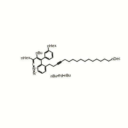 CCCCCCCCCCCCCCCCCCCCCCC#CCCc1ccccc1C(=C(CCCC)C(=C=[N+]=[N-])CCCCCC)c1cccc(CCCCCC)c1.CCC[CH2][Pd][CH2]CCC